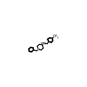 FC(F)(F)c1ccc(CNC2CCN(Cc3ccccc3)CC2)cc1